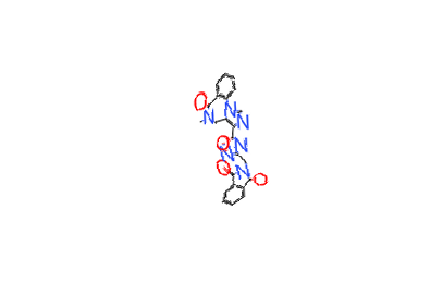 CN1Cc2c(-c3nc(CN4C(=O)c5ccccc5C4=O)no3)ncn2-c2ccccc2C1=O